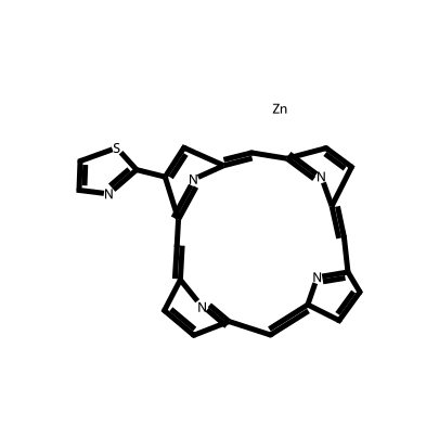 C1=CC2=NC1=CC1=NC(=CC3=NC(=CC4=NC(=C2)C=C4)C=C3c2nccs2)C=C1.[Zn]